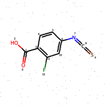 O=C(O)c1ccc(N=C=S)cc1F